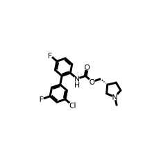 CN1CC[C@@H](COC(=O)Nc2ccc(F)cc2-c2cc(F)cc(Cl)c2)C1